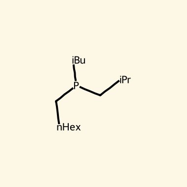 CCCCCCCP(CC(C)C)C(C)CC